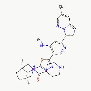 CC(C)Nc1cc(-c2ccc3cc(C#N)cnn23)ncc1-c1nnc(N2C[C@H]3CC[C@@H](C2)C3NC(=O)C2CCNCC2)s1